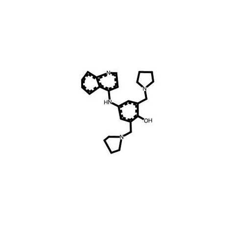 Oc1c(CN2CCCC2)cc(Nc2ccnc3ccccc23)cc1CN1CCCC1